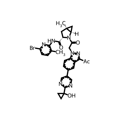 CC(=O)c1nn(CC(=O)N2[C@H](C(=O)Nc3nc(Br)ccc3C)C[C@@]3(C)C[C@@H]23)c2ccc(-c3cnc(C4(O)CC4)nc3)cc12